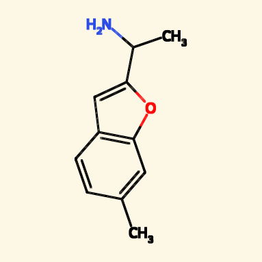 Cc1ccc2cc(C(C)N)oc2c1